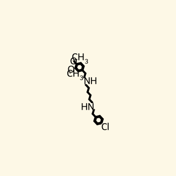 COc1ccc(CCNCCCCCCNCCc2ccc(Cl)cc2)cc1OC